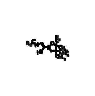 C=N/C=C(\S)B1CC(C)(C)C(C)(C)O1